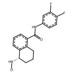 O=C(Nc1ccc(F)c(F)c1)c1cccc2c1CCC[C@@H]2NCl